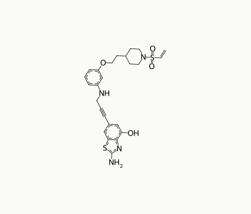 C=CS(=O)(=O)N1CCC(CCOc2cccc(NCC#Cc3cc(O)c4nc(N)sc4c3)c2)CC1